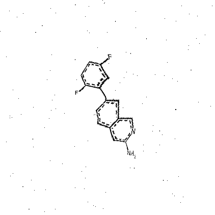 Nc1cc2ccc(-c3cc(F)ccc3F)cc2cn1